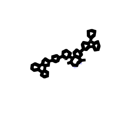 C/C1=C\C=C/C(C)N(c2cccc(-c3ccc(-c4ccc5c6ccccc6c6ccccc6c5c4)cc3)n2)c2ccc(-c3ccc4c(c3)c3ccccc3n4-c3ccccc3)cc21